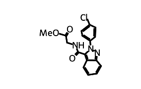 COC(=O)CNC(=O)c1c2ccccc2nn1-c1ccc(Cl)cc1